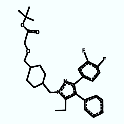 CCc1c(-c2ccccc2)c(-c2ccc(F)c(F)c2)nn1CC1CCC(COCC(=O)OC(C)(C)C)CC1